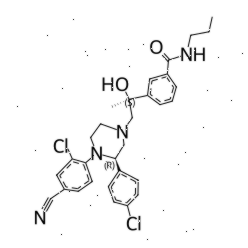 CCCNC(=O)c1cccc([C@](C)(O)CN2CCN(c3ccc(C#N)cc3Cl)[C@H](c3ccc(Cl)cc3)C2)c1